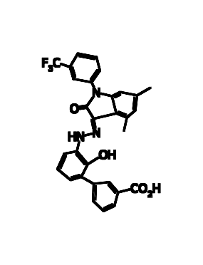 Cc1cc(C)c2c(c1)N(c1cccc(C(F)(F)F)c1)C(=O)C2=NNc1cccc(-c2cccc(C(=O)O)c2)c1O